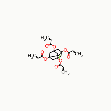 C=CC(=O)OC12CC3(OC(=O)C=C)CC(OC(=O)C=C)(C1)C(F)C(OC(=O)C=C)(C2)C3